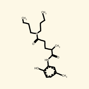 CCCCN(CCCC)C(=O)CCC(C)C(=O)Nc1cc(C)ccc1O